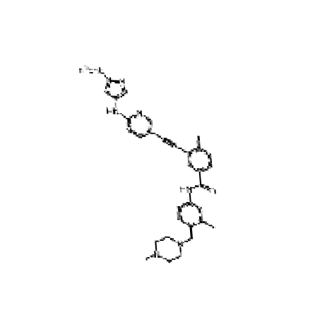 CCCCCn1cc(Nc2ncc(C#Cc3cc(C(=O)Nc4ccc(CN5CCN(C)CC5)c(C)c4)ccc3C)cn2)cn1